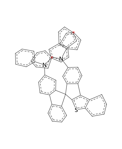 c1ccc(N(c2ccccc2)c2ccc3c(c2)C2(c4ccccc4-c4ccc(N(c5ccccc5)c5ccc6ccccc6c5)cc42)c2sc4ccccc4c2-3)cc1